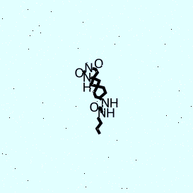 CCCCNC(=O)NC1CCC2(CC1)CC1(CC(=O)N(C)C(=O)N1)C2